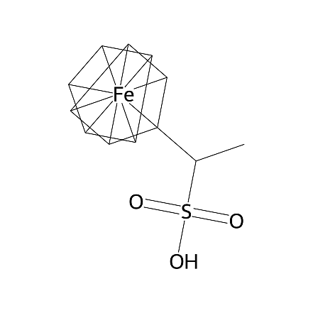 CC([C]12[CH]3[CH]4[CH]5[CH]1[Fe]45321678[CH]2[CH]1[CH]6[CH]7[CH]28)S(=O)(=O)O